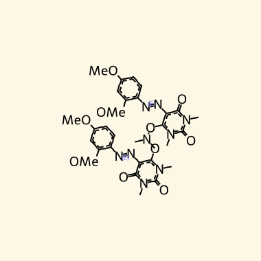 COc1ccc(/N=N/c2c(ON(C)Oc3c(/N=N/c4ccc(OC)cc4OC)c(=O)n(C)c(=O)n3C)n(C)c(=O)n(C)c2=O)c(OC)c1